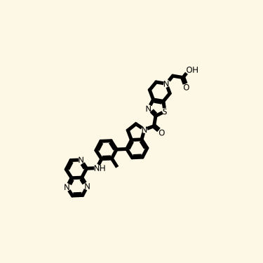 Cc1c(Nc2nccc3nccnc23)cccc1-c1cccc2c1CCN2C(=O)c1nc2c(s1)CN(CC(=O)O)CC2